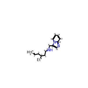 C=CCC(CC)CCNCc1cnc2ccccn12